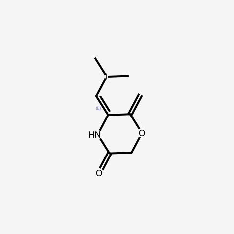 C=C1OCC(=O)N/C1=C/I(C)C